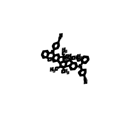 Cc1ccccc1N(c1ccc(C#N)cc1)c1ccc2c(c1)C(C)(C)c1c-2c(C)c(C)c2c1C(C)(C)c1cc(N(c3ccc(C#N)cc3)c3ccccc3C)ccc1-2